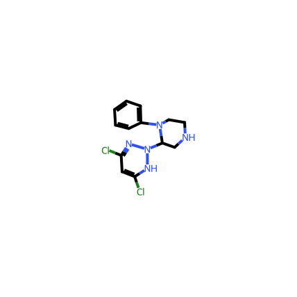 ClC1=CC(Cl)=NN(C2CNCCN2c2ccccc2)N1